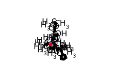 CN[C@H](C(=O)N[C@H](C(=O)N(C)[C@H](/C=C(\C)C(=O)N[C@H](CCC(=O)OC(C)(C)C)C(=O)O)C(C)C)C(C)(C)C)C(C)(C)c1ccccc1